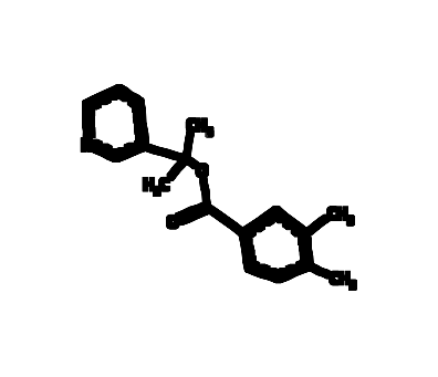 Cc1ccc(C(=O)OC(C)(C)c2cccnc2)cc1C